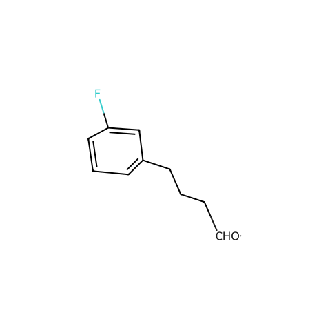 O=[C]CCCc1cccc(F)c1